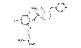 COC(C)CCOc1cc(F)cc(C[C@H](NC(C)=O)[C@H](O)[C@@H]2NCCN(Cc3ccccc3)C2=O)c1